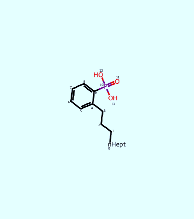 CCCCCCCCCCc1ccccc1P(=O)(O)O